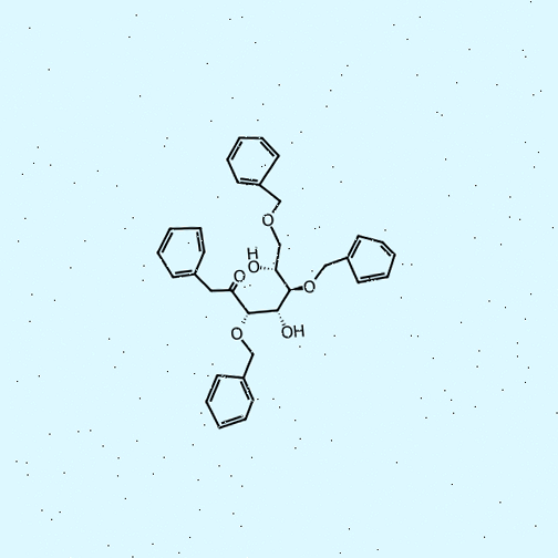 O=C(Cc1ccccc1)[C@@H](OCc1ccccc1)[C@@H](O)[C@H](OCc1ccccc1)[C@H](O)COCc1ccccc1